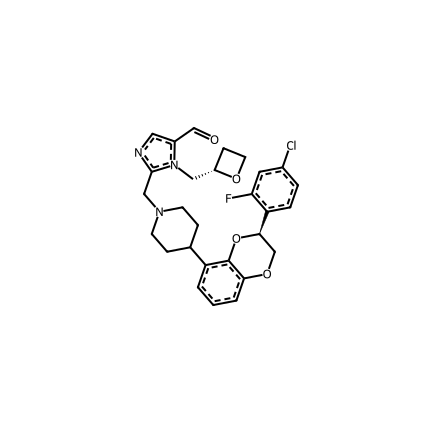 O=Cc1cnc(CN2CCC(c3cccc4c3O[C@@H](c3ccc(Cl)cc3F)CO4)CC2)n1C[C@@H]1CCO1